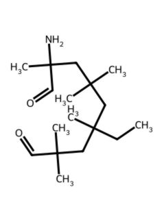 CCC(C)(CC(C)(C)C=O)CC(C)(C)CC(C)(N)C=O